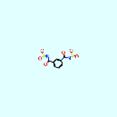 O=C(N=S(=O)=O)c1cccc(C(=O)N=S(=O)=O)c1